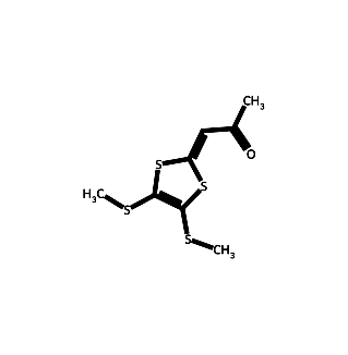 CSC1=C(SC)SC(=CC(C)=O)S1